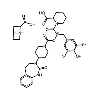 O=C(O)C1CC2CC[N+]21.O=C(O)C1CCCCN1C(=O)[C@@H](Cc1cc(Br)c(O)c(Br)c1)OC(=O)N1CCC(N2CCc3ccccc3NC2=O)CC1